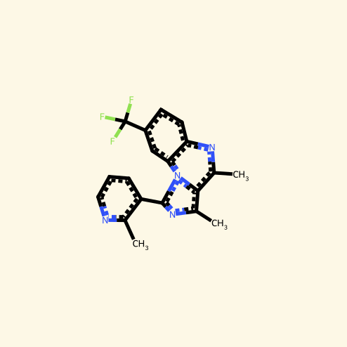 Cc1ncccc1-c1nc(C)c2c(C)nc3ccc(C(F)(F)F)cc3n12